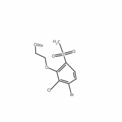 COCCOc1c(S(C)(=O)=O)ccc(Br)c1Cl